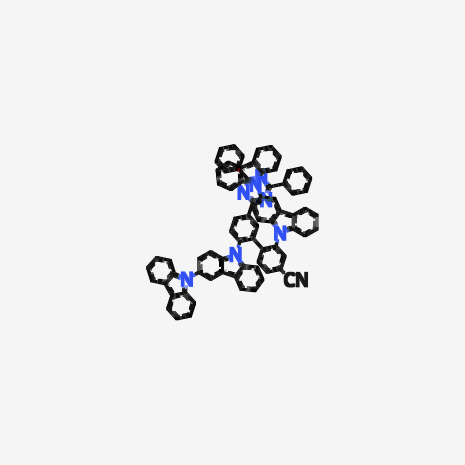 N#Cc1ccc(-c2cc(-c3nc(-c4ccccc4)nc(-c4ccccc4)n3)ccc2-n2c3ccccc3c3cc(-n4c5ccccc5c5ccccc54)ccc32)c(-n2c3ccccc3c3cc(-n4c5ccccc5c5ccccc54)ccc32)c1